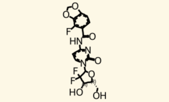 O=C(Nc1ccn(C2O[C@H](CO)[C@@H](O)C2(F)F)c(=O)n1)c1ccc2c(c1F)OCO2